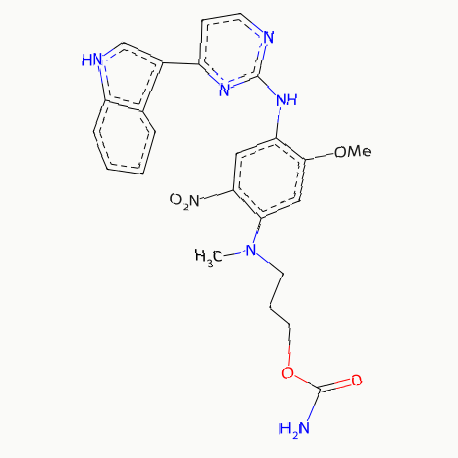 COc1cc(N(C)CCCOC(N)=O)c([N+](=O)[O-])cc1Nc1nccc(-c2c[nH]c3ccccc23)n1